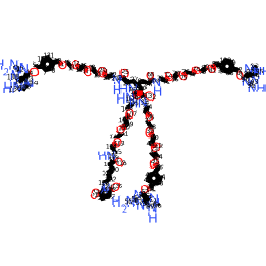 Nc1nc(OCc2ccc(COCCOCCOCCOCCNC(=O)CCC(CCC(=O)NCCOCCOCCOCCOCc3ccc(COc4nc(N)nc5[nH]cnc45)cc3)(CCC(=O)NCCOCCOCCOCCOCc3ccc(COc4nc(N)nc5[nH]cnc45)cc3)NC(=O)NCCOCCOCCOCCNC(=O)CCCCCN3C(=O)C=CC3=O)cc2)c2nc[nH]c2n1